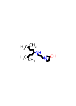 CC(C)CCC(CCC(C)C)NCCCN1CCC(O)C1